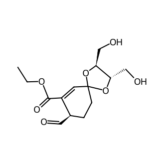 CCOC(=O)C1=CC2(CC[C@H]1C=O)O[C@@H](CO)[C@H](CO)O2